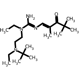 CCN(CCN(CC)C(C)(C)C)/C(N)=N/C=C(\C)C(=O)C(C)(C)C